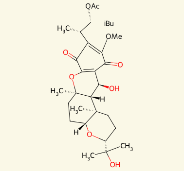 CC[C@H](C)[C@@H](OC(C)=O)[C@@H](C)C1=C(OC)C(=O)C2=C(O[C@]3(C)CC[C@H]4O[C@@H](C(C)(C)O)CC[C@]4(C)[C@H]3[C@@H]2O)C1=O